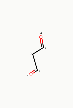 O=C[C]C=O